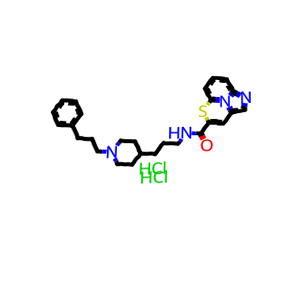 Cl.Cl.O=C(NCCCC1CCN(CCCc2ccccc2)CC1)C1=Cc2cnc3cccc(n23)S1